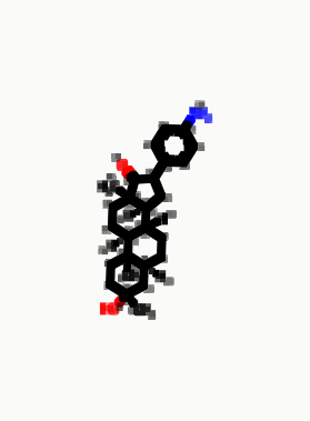 C[C@@]1(O)CC[C@@]2(C)[C@@H](CC[C@@H]3[C@@H]2CC[C@]2(C)C(=O)C(c4ccc(N)cc4)C[C@@H]32)C1